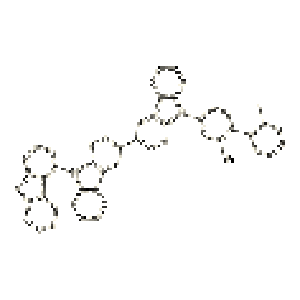 Cc1ccccc1-c1ccc(-n2c3ccccc3c3cc(-c4ccc5c(c4)c4ccccc4n5-c4cccc5sc6ccccc6c45)ccc32)cc1C(C)C